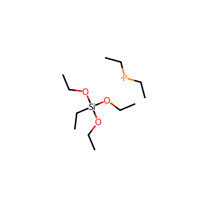 CCO[Si](CC)(OCC)OCC.CC[P]CC